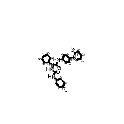 O=C(Nc1ccc(Cl)cc1)NN(C(=O)Nc1ccc(-n2ccccc2=O)cc1)c1ccccc1